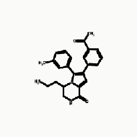 CC(=O)c1cccc(-c2cc3n(c2-c2cccc(C)c2)C(CCN)CNC3=O)c1